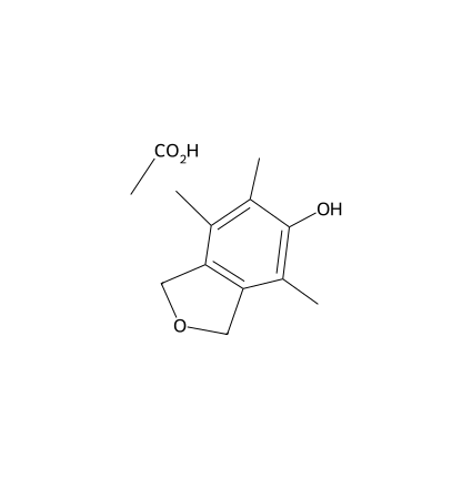 CC(=O)O.Cc1c(C)c2c(c(C)c1O)COC2